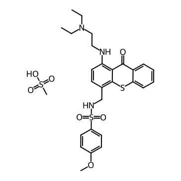 CCN(CC)CCNc1ccc(CNS(=O)(=O)c2ccc(OC)cc2)c2sc3ccccc3c(=O)c12.CS(=O)(=O)O